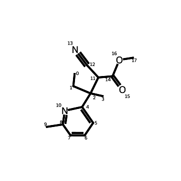 CCC(C)(c1cccc(C)n1)C(C#N)C(=O)OC